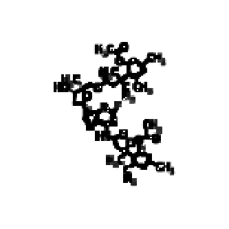 CC(=O)Oc1cc(C)cc(C)c1C(C)(C)CC(=O)Nc1nc(F)nc2c1ncn2[C@H]1C[C@H](O)[C@@](C)(COC(=O)CC(C)(C)c2c(C)cc(C)cc2OC(C)=O)O1